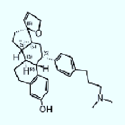 CN(C)CCCc1ccc([C@H]2C[C@@]3(C)[C@@H](CC[C@@]34C=CCO4)[C@@H]3CCc4cc(O)ccc4[C@H]32)cc1